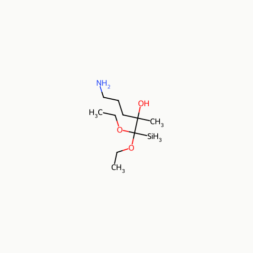 CCOC([SiH3])(OCC)C(C)(O)CCCN